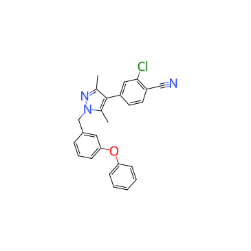 Cc1nn(Cc2cccc(Oc3ccccc3)c2)c(C)c1-c1ccc(C#N)c(Cl)c1